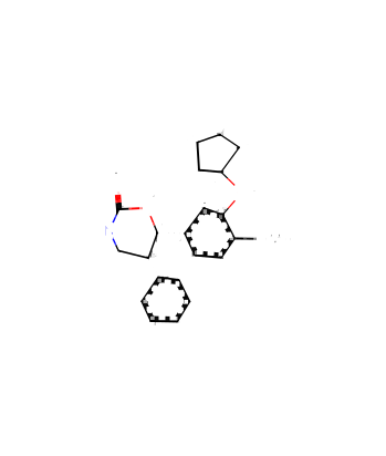 COc1ccc([C@H]2OC(=O)NC[C@H]2c2ccccc2)cc1OC1CCCC1